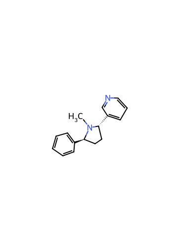 CN1[C@H](c2ccccc2)CC[C@H]1c1cccnc1